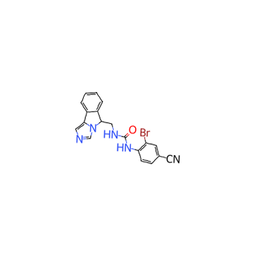 N#Cc1ccc(NC(=O)NCC2c3ccccc3-c3cncn32)c(Br)c1